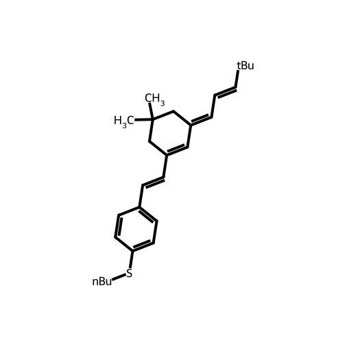 CCCCSc1ccc(/C=C/C2=CC(=C/C=C/C(C)(C)C)/CC(C)(C)C2)cc1